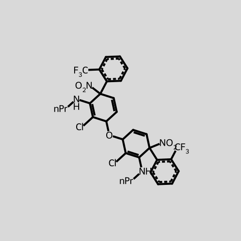 CCCNC1=C(Cl)C(OC2C=CC(c3ccccc3C(F)(F)F)([N+](=O)[O-])C(NCCC)=C2Cl)C=CC1(c1ccccc1C(F)(F)F)[N+](=O)[O-]